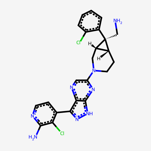 NC[C@]1(c2ccccc2Cl)[C@@H]2CCN(c3cnc4c(-c5ccnc(N)c5Cl)n[nH]c4n3)C[C@@H]21